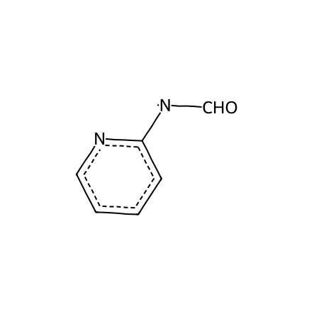 O=C[N]c1ccccn1